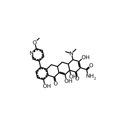 COc1ccc(-c2ccc(O)c3c2CC2CC4C(N(C)C)C(O)=C(C(N)=O)C(=O)C4(O)C(O)=C2C3=O)cn1